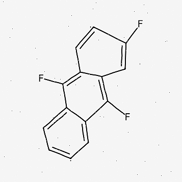 Fc1[c]cc2c(F)c3cc[c]cc3c(F)c2c1